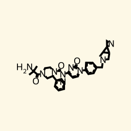 CC(C)(N)C(=O)N1CCN(C(=O)Nc2ccn(-c3ccc(CN4CC5C(C4)C54C=N4)cc3)c(=O)n2)C(c2ccccc2)C1